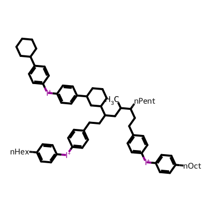 CCCCCCCCc1ccc([I+]c2ccc(CCC(CCCCC)C(C)CC(CCc3ccc([I+]c4ccc(CCCCCC)cc4)cc3)C3CCCC(c4ccc([I+]c5ccc(C6CCCCC6)cc5)cc4)C3)cc2)cc1